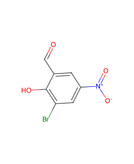 O=Cc1cc([N+](=O)[O-])cc(Br)c1O